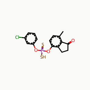 Cc1ccc(OP(=S)(S)Oc2cccc(Cl)c2)c2c1C(=O)CC2